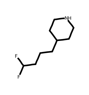 FC(F)CCCC1CCNCC1